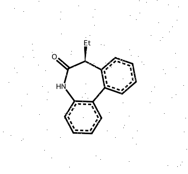 CC[C@@H]1C(=O)Nc2ccccc2-c2ccccc21